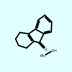 CC(C)(C)O.O=C1C2=C(CCCC2)c2ccccc21